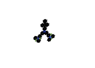 Fc1ccccc1N(c1ccc(-c2ccc3c(c2)c2cc(-c4ccc(N(c5ccccc5F)c5ccccc5F)cc4)ccc2n3-c2ccc(-c3c4ccccc4c(-c4ccccc4)c4ccccc34)cc2)cc1)c1ccccc1F